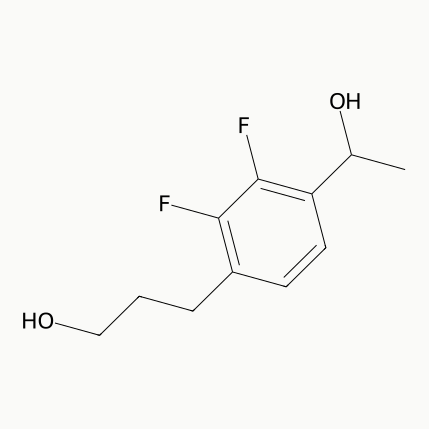 CC(O)c1ccc(CCCO)c(F)c1F